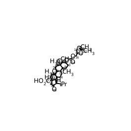 CC(C)C1=C2[C@H]3CCC4[C@@]5(C)CC[C@H](OC(=O)OCC6COC(C)(C)O6)C(C)(C)[C@@H]5CC[C@@]4(C)[C@]3(C)CC[C@@]2(C(=O)O)CC1=O